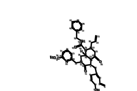 C=C/C=C(\C=C/CO)C[C@H]1C(=O)N(Cc2cccc(C(=O)OCC)n2)C[C@H]2N1C(=O)CN(CC=C)N2C(=O)NCc1ccccc1